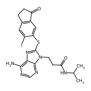 CC(C)NC(=O)CCn1c(Sc2cc3c(cc2I)CCC3=O)nc2c(N)ncnc21